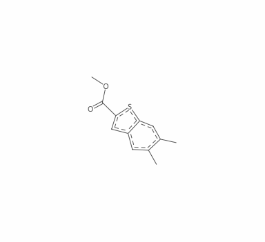 COC(=O)c1cc2cc(C)c(C)cc2s1